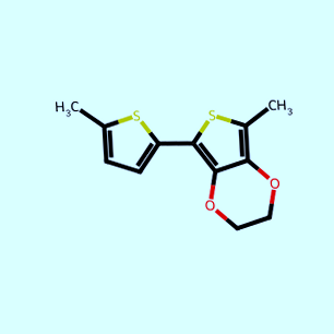 Cc1ccc(-c2sc(C)c3c2OCCO3)s1